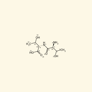 CC(O)[C@H](N)C(=O)N[C@H](C(=O)O)C(C)O